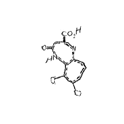 O=C(O)c1nc2ccc(Cl)c(Cl)c2[nH]c1=O